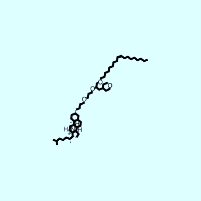 CCCCCCCC/C=C\CCCCCCCCOCC(CC1CCOCC1)OCCCOCCCC[C@H]1CC[C@@]2(C)C(CC[C@@H]3[C@@H]2CC[C@]2(C)[C@@H]([C@H](C)CCCC(C)C)CC[C@@]32N)C1